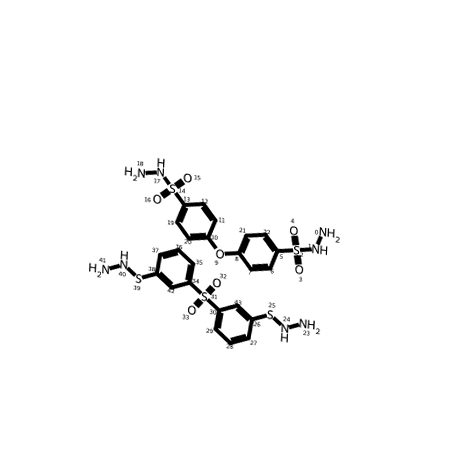 NNS(=O)(=O)c1ccc(Oc2ccc(S(=O)(=O)NN)cc2)cc1.NNSc1cccc(S(=O)(=O)c2cccc(SNN)c2)c1